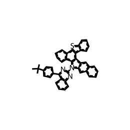 CC(C)(C)c1ccc(-c2nc(-n3c4cc5ccccc5cc4c4c5c6ccccc6sc5c5ccccc5c43)nc3ccccc23)cc1